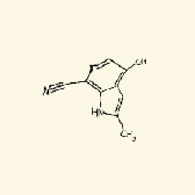 Cc1cc2c(O)ccc(C#N)c2[nH]1